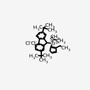 CCC1=[C]([Zr+2]([CH]2c3cc(C(C)(C)C)ccc3-c3ccc(C(C)(C)C)cc32)=[Si](C)C)CC=C1.[Cl-].[Cl-]